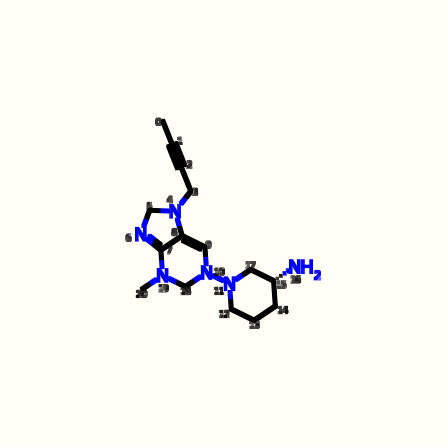 CC#CCN1CN=C2C1=CN(N1CCC[C@@H](N)C1)CN2C